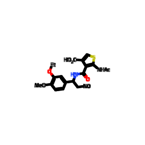 CCOc1cc(C(CN=O)NC(=O)c2c(C(=O)O)csc2NC(C)=O)ccc1OC